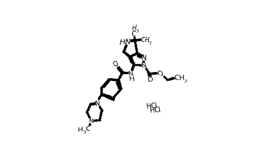 CCOC(=O)n1nc2c(c1NC(=O)c1ccc(N3CCN(C)CC3)cc1)CNC2(C)C.Cl.Cl